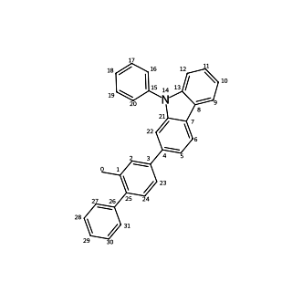 Cc1cc(-c2ccc3c4ccccc4n(-c4ccccc4)c3c2)ccc1-c1ccccc1